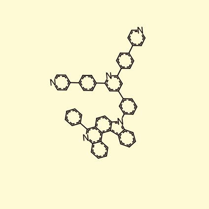 c1ccc(-c2nc3ccccc3c3c2ccc2c3c3ccccc3n2-c2cccc(-c3cc(-c4ccc(-c5ccncc5)cc4)nc(-c4ccc(-c5ccncc5)cc4)c3)c2)cc1